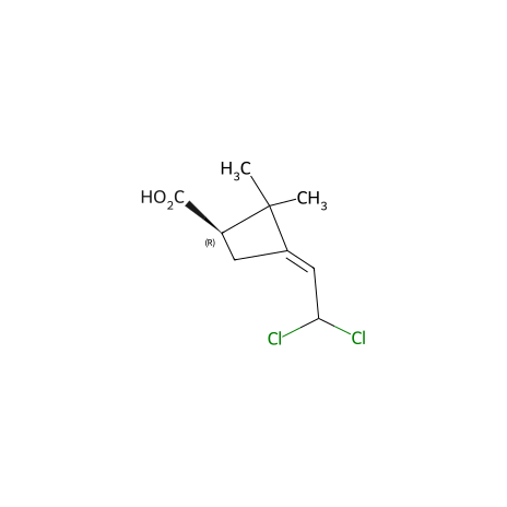 CC1(C)C(=CC(Cl)Cl)C[C@H]1C(=O)O